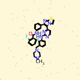 CN1CCN(Cc2cccc(Nc3nccc(-c4c(-c5cccc(NC(=O)c6c(F)cccc6F)c5)nc5sccn45)n3)c2)CC1